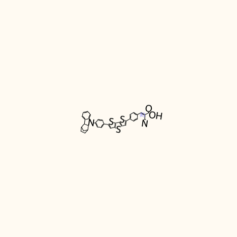 N#C/C(=C\c1ccc(-c2cc3sc4cc(-c5ccc(N6c7ccccc7C7C8CCC(C8)C76)cc5)sc4c3s2)cc1)C(=O)O